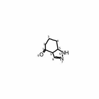 O=C1CCCC2NN=CC12